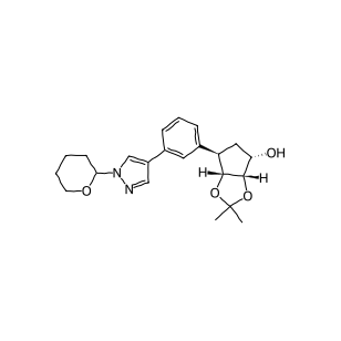 CC1(C)O[C@@H]2[C@H](O1)[C@@H](c1cccc(-c3cnn(C4CCCCO4)c3)c1)C[C@@H]2O